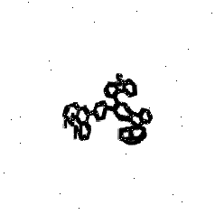 c1ccc2c(c1)-c1cc(-c3cccc4sc5ccccc5c34)c(-c3ccc(-c4cc5cccnc5c5ncccc45)cc3)cc1C21C2CC3CC(C2)CC1C3